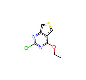 CCOc1nc(Cl)nc2cscc12